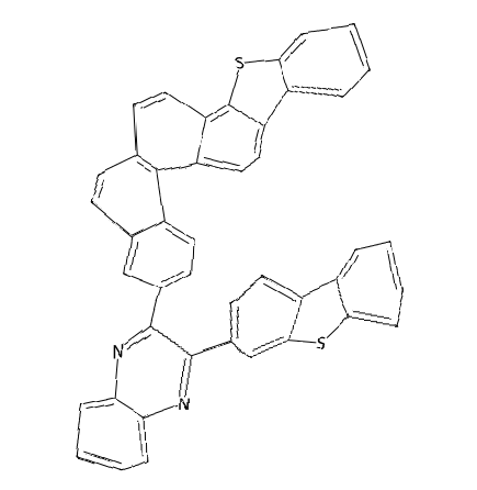 c1ccc2nc(-c3ccc4c(c3)sc3ccccc34)c(-c3ccc4c(ccc5ccc6c(ccc7c8ccccc8sc76)c54)c3)nc2c1